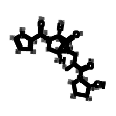 C[C@@H](CN1C(=O)[C@@H]2C[C@H]1CN2C(=O)c1cccs1)C(=O)N1CCC[C@H]1C#N